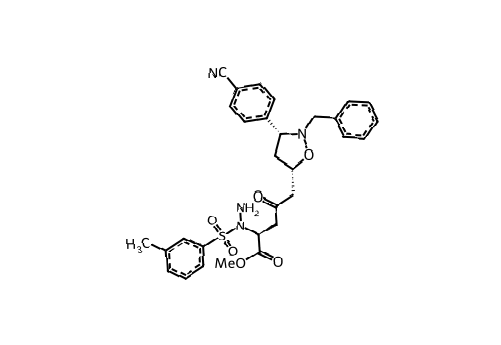 COC(=O)[C@H](CC(=O)C[C@@H]1C[C@H](c2ccc(C#N)cc2)N(Cc2ccccc2)O1)N(N)S(=O)(=O)c1cccc(C)c1